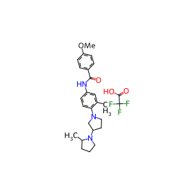 COc1ccc(C(=O)Nc2ccc(N3CCC(N4CCCC4C)C3)c(C)c2)cc1.O=C(O)C(F)(F)F